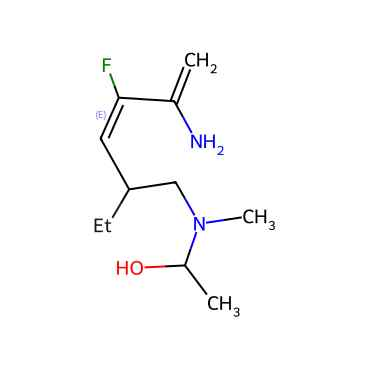 C=C(N)/C(F)=C\C(CC)CN(C)C(C)O